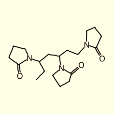 CCC(CC(CCN1CCCC1=O)N1CCCC1=O)N1CCCC1=O